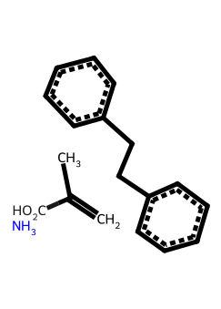 C=C(C)C(=O)O.N.c1ccc(CCc2ccccc2)cc1